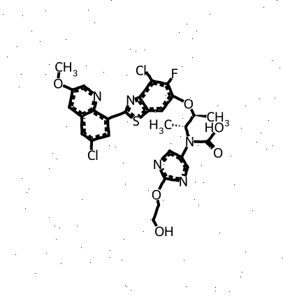 COc1cnc2c(-c3nc4c(Cl)c(F)c(O[C@@H](C)[C@@H](C)N(C(=O)O)c5cnc(OCCO)nc5)cc4s3)cc(Cl)cc2c1